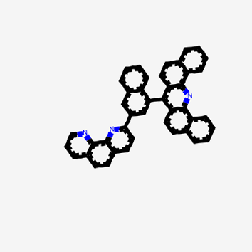 c1ccc2c(-c3c4ccc5ccccc5c4nc4c3ccc3ccccc34)cc(-c3ccc4ccc5cccnc5c4n3)cc2c1